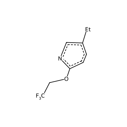 CCc1ccc(OCC(F)(F)F)nc1